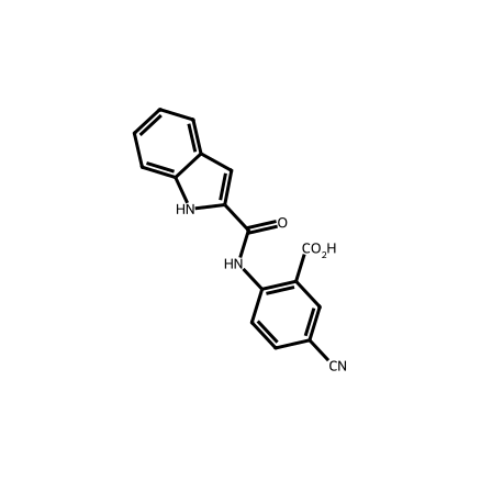 N#Cc1ccc(NC(=O)c2cc3ccccc3[nH]2)c(C(=O)O)c1